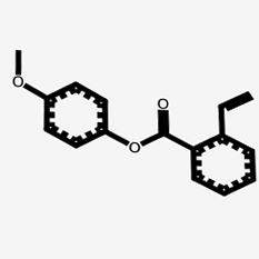 C=Cc1ccccc1C(=O)Oc1ccc(OC)cc1